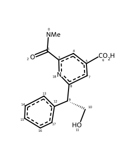 CNC(=O)c1cc(C(=O)O)cc([C@H](CO)c2ccccc2)n1